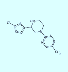 Cc1cnc(N2CCNC(c3ccc(Cl)s3)C2)nc1